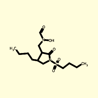 CCCCC1CN(S(=O)(=O)CCCC)C(=O)C1CN(O)C=O